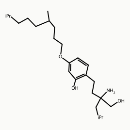 CC(C)CCCC(C)CCCOc1ccc(CCC(N)(CO)CC(C)C)c(O)c1